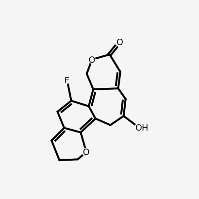 O=C1C=C2C=C(O)Cc3c4c(cc(F)c3=C2CO1)=CCCO4